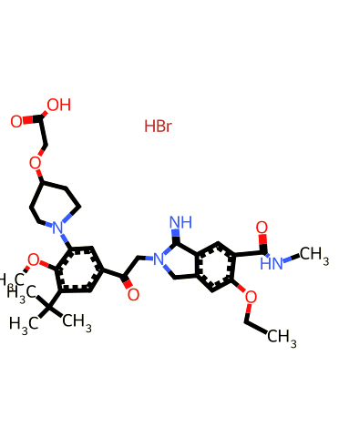 Br.CCOc1cc2c(cc1C(=O)NC)C(=N)N(CC(=O)c1cc(N3CCC(OCC(=O)O)CC3)c(OC)c(C(C)(C)C)c1)C2